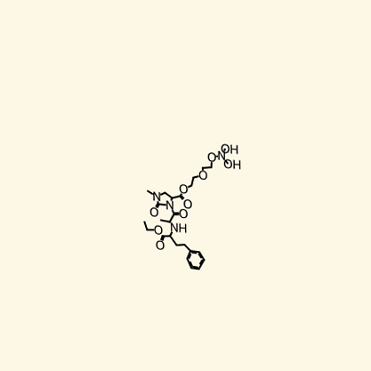 CCOC(=O)C(CCc1ccccc1)NC(C)C(=O)N1C(=O)N(C)CC1C(=O)OCCOCCON(O)O